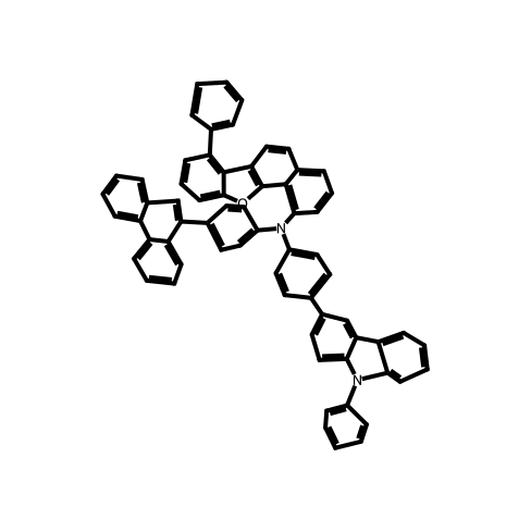 c1ccc(-c2cccc3oc4c(ccc5cccc(N(c6ccc(-c7ccc8c(c7)c7ccccc7n8-c7ccccc7)cc6)c6ccc(-c7cc8ccccc8c8ccccc78)cc6)c54)c23)cc1